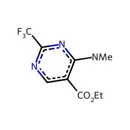 CCOC(=O)c1cnc(C(F)(F)F)nc1NC